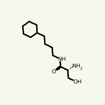 N[C@H](CO)C(=O)NCCCCC1CCCCC1